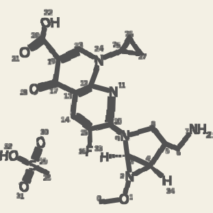 CON1[C@@H]2[C@@H]1C(CN)CN2c1nc2c(cc1F)c(=O)c(C(=O)O)cn2C1CC1.CS(=O)(=O)O